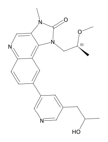 CO[C@@H](C)Cn1c(=O)n(C)c2cnc3ccc(-c4cncc(CC(C)O)c4)cc3c21